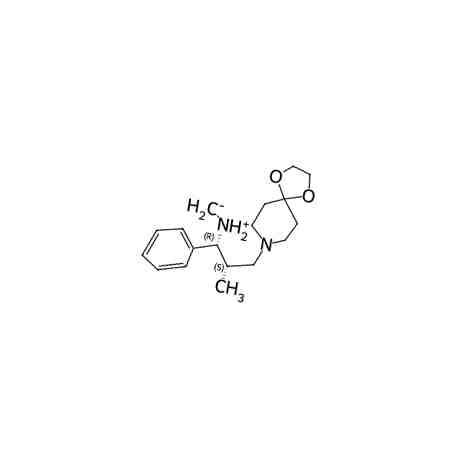 [CH2-][NH2+][C@@H](c1ccccc1)[C@@H](C)CN1CCC2(CC1)OCCO2